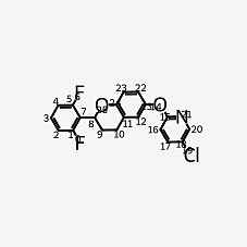 Fc1cccc(F)c1C1CCc2cc(Oc3ccc(Cl)cn3)ccc2O1